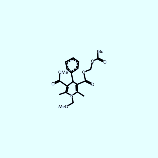 COCN1C(C)=C(C(=O)OC)C(c2ccccc2)C(C(=O)OCOC(=O)C(C)(C)C)=C1C